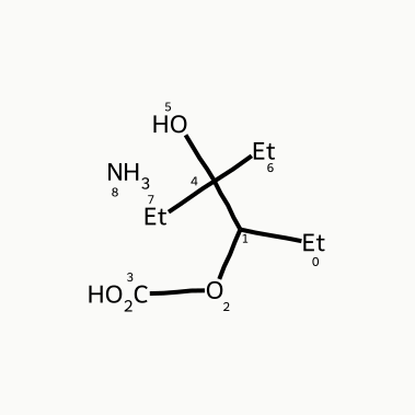 CCC(OC(=O)O)C(O)(CC)CC.N